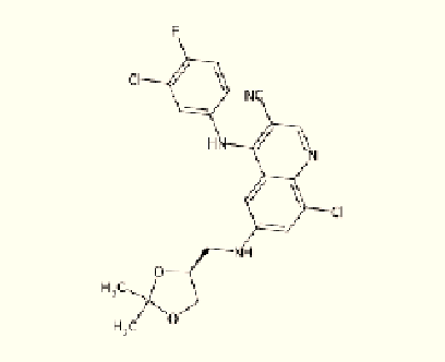 CC1(C)OC[C@H](CNc2cc(Cl)c3ncc(C#N)c(Nc4ccc(F)c(Cl)c4)c3c2)O1